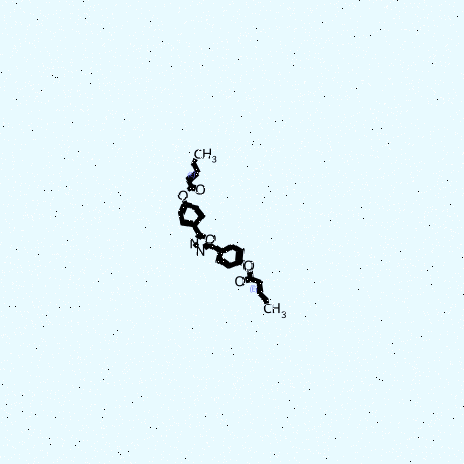 CC/C=C/C(=O)Oc1ccc(-c2nnc(-c3ccc(OC(=O)/C=C/CC)cc3)o2)cc1